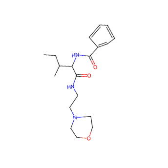 CCC(C)C(NC(=O)c1ccccc1)C(=O)NCCN1CCOCC1